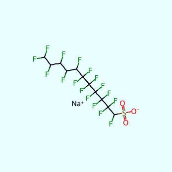 O=S(=O)([O-])C(F)C(F)(F)C(F)(F)C(F)(F)C(F)(F)C(F)(F)C(F)C(F)C(F)C(F)C(F)F.[Na+]